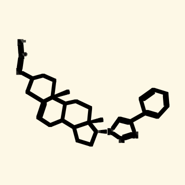 C[C@]12CCC(N=[N+]=[N-])CC1=CCC1C2CC[C@@]2(C)C1CC[C@H]2n1cc(-c2ccccc2)nn1